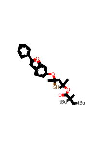 CC(C)(C)CC(C)(C(=O)OC(C)(C)CC(C)(S)Oc1ccc2cc(-c3ccccc3)oc2c1)C(C)(C)C